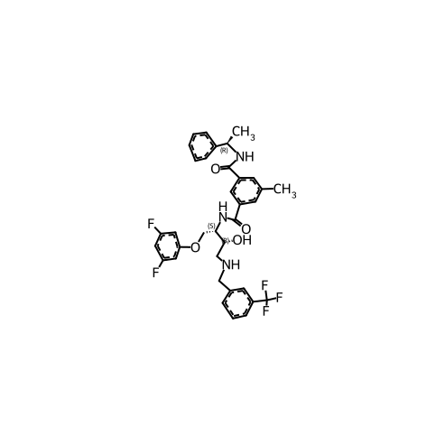 Cc1cc(C(=O)N[C@@H](COc2cc(F)cc(F)c2)[C@H](O)CNCc2cccc(C(F)(F)F)c2)cc(C(=O)N[C@H](C)c2ccccc2)c1